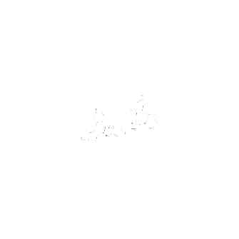 Fc1ccc(-c2nc(SCSc3nc(-c4ccc(F)cc4)c(-c4ccc(F)cc4)[nH]3)[nH]c2-c2ccc(F)cc2)cc1